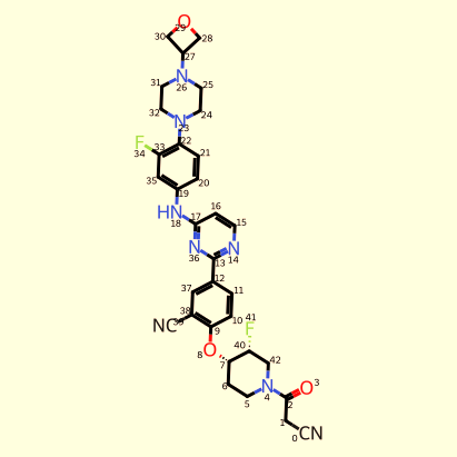 N#CCC(=O)N1CC[C@H](Oc2ccc(-c3nccc(Nc4ccc(N5CCN(C6COC6)CC5)c(F)c4)n3)cc2C#N)[C@H](F)C1